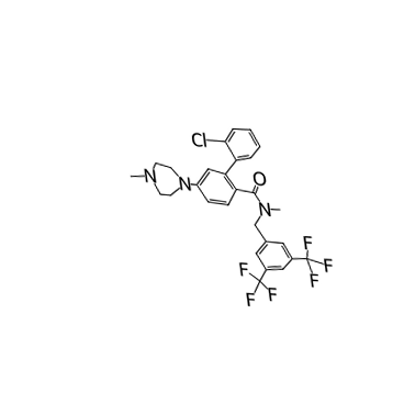 CN1CCN(c2ccc(C(=O)N(C)Cc3cc(C(F)(F)F)cc(C(F)(F)F)c3)c(-c3ccccc3Cl)c2)CC1